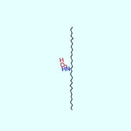 CCCCCCCCCCCCCCCC(CCCCCCCCCCCCCCC)NCO